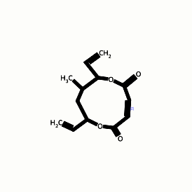 C=CC1CC(C)C(C=C)OC(=O)/C=C\C(=O)O1